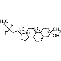 CCC(F)(F)CCC1CCC2C3CC=C4C[C@@](C)(O)CCC4(C)C3CC[C@]12C